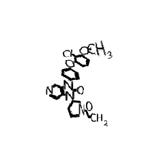 C=CC(=O)N1CCCC(n2c(=O)n(-c3ccc(Oc4cccc(OC)c4Cl)cc3)c3cnccc32)C1